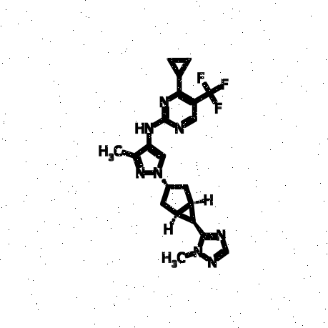 Cc1nn([C@@H]2C[C@@H]3[C@H](C2)[C@@H]3c2ncnn2C)cc1Nc1ncc(C(F)(F)F)c(C2CC2)n1